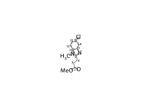 COC(=O)CCc1nc2cc(Cl)ccc2n1C